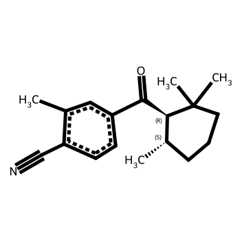 Cc1cc(C(=O)[C@@H]2[C@@H](C)CCCC2(C)C)ccc1C#N